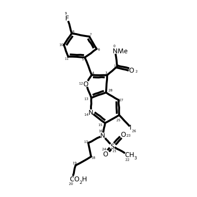 CNC(=O)c1c(-c2ccc(F)cc2)oc2nc(N(CCCC(=O)O)S(C)(=O)=O)c(I)cc12